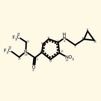 O=C(c1ccc(NCC2CC2)c([N+](=O)[O-])c1)N(CC(F)(F)F)CC(F)(F)F